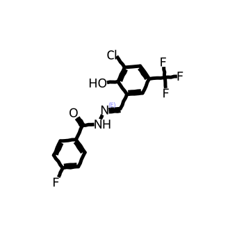 O=C(N/N=C/c1cc(C(F)(F)F)cc(Cl)c1O)c1ccc(F)cc1